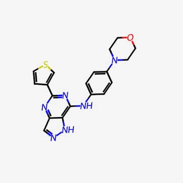 c1cc(-c2nc(Nc3ccc(N4CCOCC4)cc3)c3[nH]ncc3n2)cs1